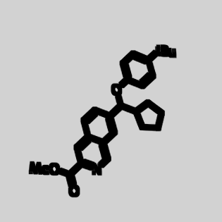 COC(=O)c1cc2ccc(C(Oc3ccc(C(C)(C)C)cc3)C3CCCC3)cc2cn1